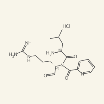 CC(C)C[C@H](N)C(=O)N(C(=O)c1ccccn1)[C@H](C=O)CCCNC(=N)N.Cl